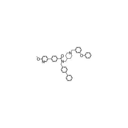 COc1ccc(-c2ccc(C(=O)N(Cc3ccc(-c4ccccc4)cc3)CC3CCN(Cc4cccc(Oc5ccccc5)c4)CC3)cc2)cn1